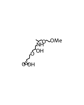 COCCOCC(C)NCC(O)COCCCS(=O)O